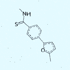 CNC(=S)c1ccc(-c2ccc(C)o2)cc1